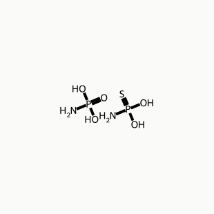 NP(=O)(O)O.NP(O)(O)=S